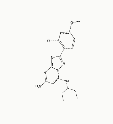 CCC(CC)Nc1cc(N)nc2nc(-c3ccc(OC)cc3Cl)nn12